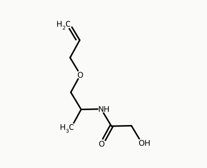 C=CCOCC(C)NC(=O)CO